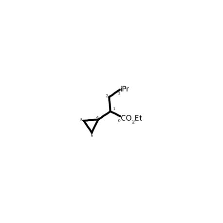 CCOC(=O)C(CC(C)C)C1CC1